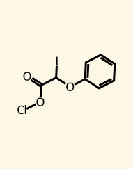 O=C(OCl)C(I)Oc1ccccc1